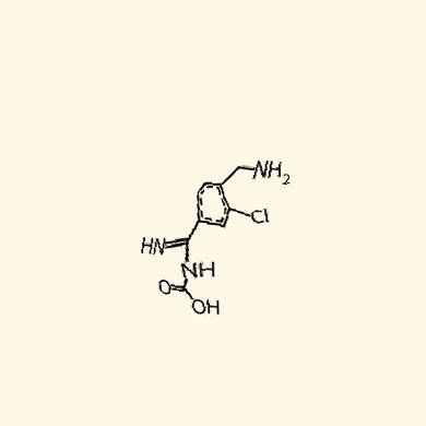 N=C(NC(=O)O)c1ccc(CN)c(Cl)c1